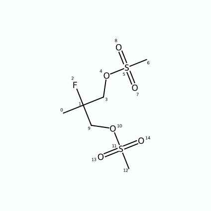 CC(F)(COS(C)(=O)=O)COS(C)(=O)=O